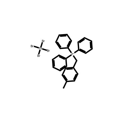 Cc1ccc(C[P+](c2ccccc2)(c2ccccc2)c2ccccc2)cc1.[Br][Fe-]([Br])([Br])[Br]